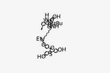 C#Cc1ccc(C(C)NC(=O)[C@@H]2C[C@@H](O)CN2C(=O)C(NC(=O)CCCCCCCN(CC)CCOc2ccc(C(=O)c3c(-c4ccc(O)cc4)sc4cc(O)ccc34)cc2)C(C)(C)C)cc1